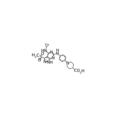 CS(=O)(=O)c1n[nH]c2nc(Nc3ccc(N4CCC(C(=O)O)CC4)cc3)nc(NC3CC3)c12